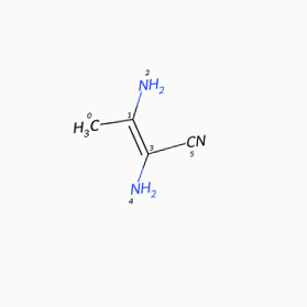 CC(N)=C(N)C#N